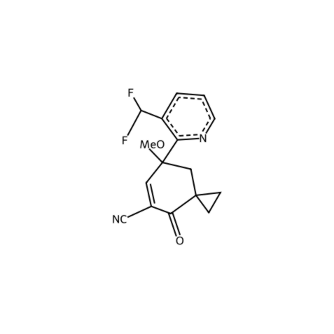 COC1(c2ncccc2C(F)F)C=C(C#N)C(=O)C2(CC2)C1